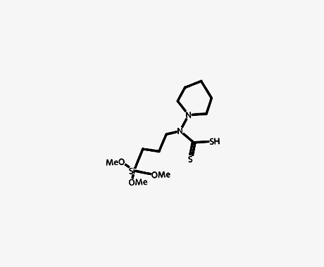 CO[Si](CCCN(C(=S)S)N1CCCCC1)(OC)OC